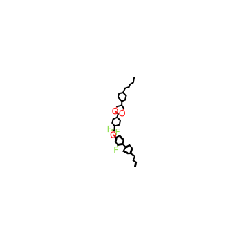 C=CCCc1ccc(-c2ccc(OC(F)(F)C3CCC(C4OCC(C5CCC(CCCCC)CC5)CO4)CC3)cc2F)cc1